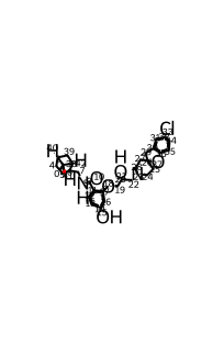 CC1(C)[C@H]2CC[C@@H](CNC(=O)c3ccc(O)cc3OC[C@H](O)CN3CCC4(CC3)Cc3cc(Cl)ccc3O4)[C@H]1C2